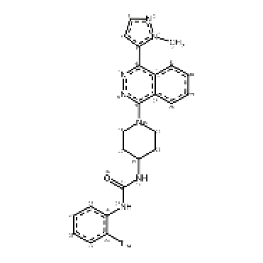 Cn1nccc1-c1nnc(N2CCC(NC(=O)Nc3ccccc3F)CC2)c2ccccc12